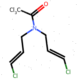 O=C(N(CC=CCl)CC=CCl)C(Cl)(Cl)Cl